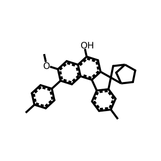 COc1cc2c(O)cc3c(c2cc1-c1ccc(C)cc1)-c1ccc(C)cc1C31CC2CCC1C2